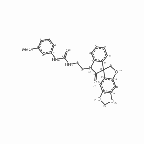 COc1cccc(NC(=O)NCCN2C(=O)C3(COc4cc5c(cc43)OCO5)c3ccccc32)c1